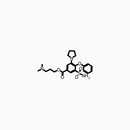 CN(C)CCCOC(=O)c1cc(N2CCCC2)c(Oc2ccccc2)c(S(N)(=O)=O)c1